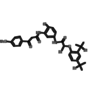 CCC(Oc1ccc(C(C)(C)CC)cc1C(C)(C)CC)C(=O)Nc1ccc(Cl)c(NC(=O)CC(=O)c2ccc(OC)cc2)c1